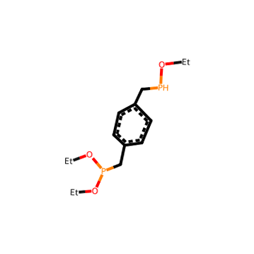 CCOPCc1ccc(CP(OCC)OCC)cc1